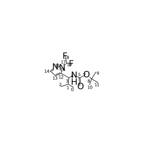 CC(C)C(NC(=O)OC(C)(C)C)c1ccnn1C(F)F